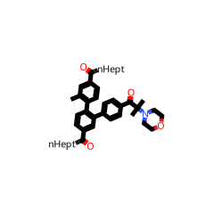 CCCCCCCC(=O)c1ccc(-c2ccc(C(=O)CCCCCCC)cc2-c2ccc(C(=O)C(C)(C)N3CCOCC3)cc2)c(C)c1